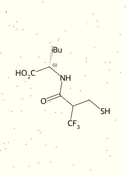 CCC(C)[C@H](NC(=O)C(CS)C(F)(F)F)C(=O)O